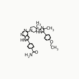 CCOc1ccc(-c2[nH]c(C3(C)CCN(c4ncnc5[nH]c(-c6ccc(C(N)=O)cc6)cc45)CC3)nc2C)cc1